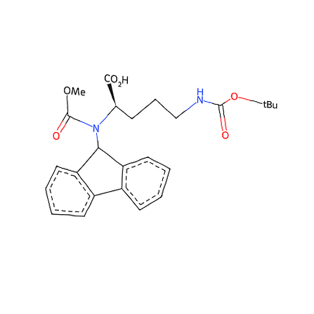 COC(=O)N(C1c2ccccc2-c2ccccc21)[C@H](CCCNC(=O)OC(C)(C)C)C(=O)O